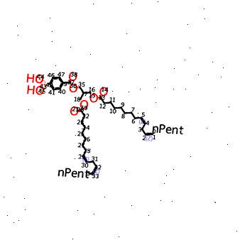 CCCCC/C=C\C/C=C\CCCCCCCC(=O)OCC(COC(=O)CCCCCCC/C=C\C/C=C\CCCCC)COC(=O)c1ccc(B(O)O)cc1